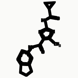 Cc1nc(NC(=O)C2CC2)sc1C(=O)Nc1ccc2c(c1)CCC2